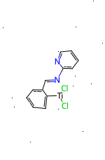 [Cl][Ti]([Cl])[c]1ccccc1C=Nc1ccccn1